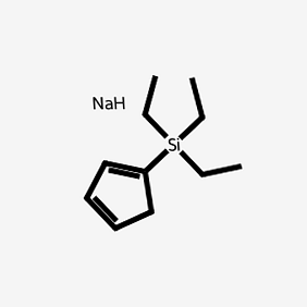 CC[Si](CC)(CC)C1=CC=CC1.[NaH]